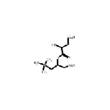 C[N+](C)(C)CC(CC(=O)[O-])OC(=O)C(O)CC(=O)O